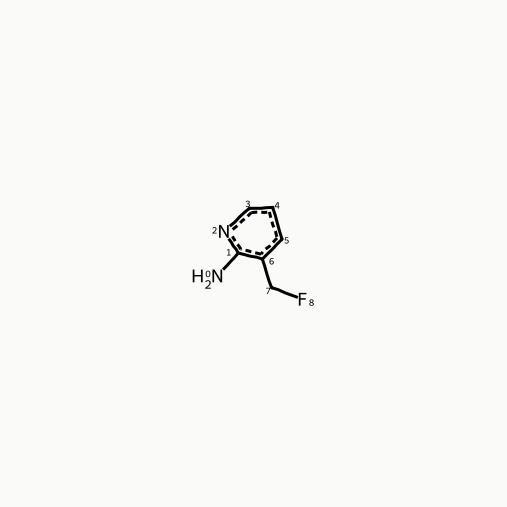 Nc1ncccc1CF